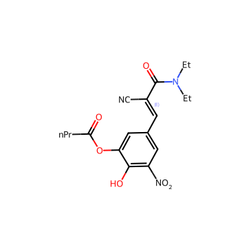 CCCC(=O)Oc1cc(/C=C(\C#N)C(=O)N(CC)CC)cc([N+](=O)[O-])c1O